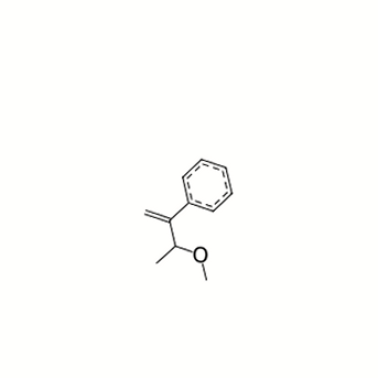 C=C(c1ccccc1)C(C)OC